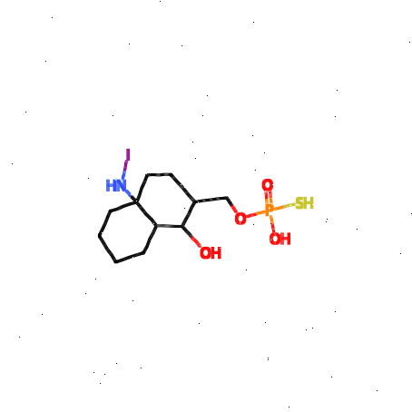 O=P(O)(S)OCC1CCC2(NI)CCCCC2C1O